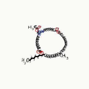 CCCCCCCCC1CCCCCCCCC(C)CCCCCCCCCCCOC(=O)CCCCCCNCN(CCOC(C)=O)CCCCCCCC(=O)O1